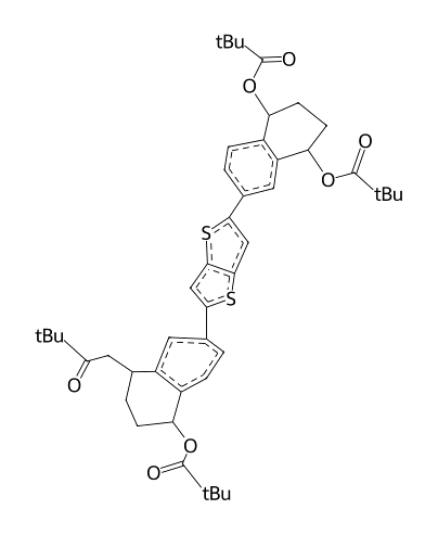 CC(C)(C)C(=O)CC1CCC(OC(=O)C(C)(C)C)c2ccc(-c3cc4sc(-c5ccc6c(c5)C(OC(=O)C(C)(C)C)CCC6OC(=O)C(C)(C)C)cc4s3)cc21